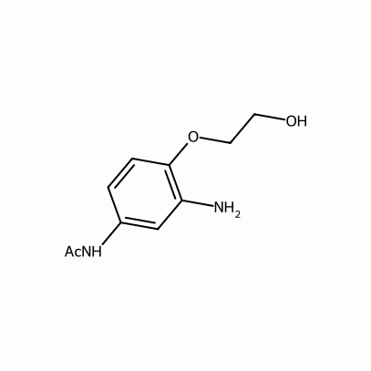 CC(=O)Nc1ccc(OCCO)c(N)c1